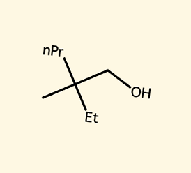 CCCC(C)(CC)CO